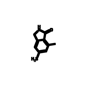 Bc1cc(C)c2c(c1)CNC2=O